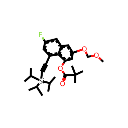 COCOc1cc(OC(=O)C(C)(C)C)c2c(C#C[Si](C(C)C)(C(C)C)C(C)C)cc(F)cc2c1